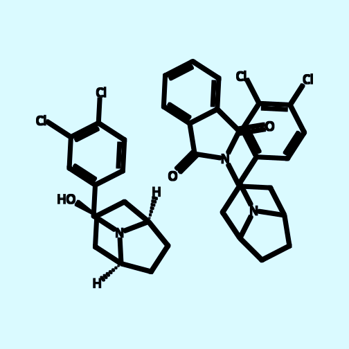 O=C1c2ccccc2C(=O)N1C1CC2CCC(C1)N2Cc1ccc(Cl)c(Cl)c1.O[C@H]1C[C@H]2CC[C@@H](C1)N2Cc1ccc(Cl)c(Cl)c1